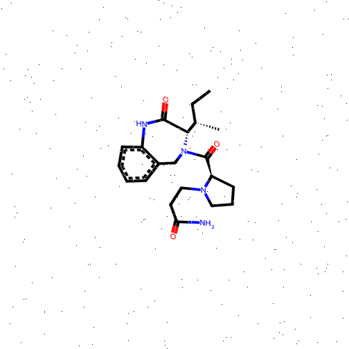 CC[C@H](C)[C@H]1C(=O)Nc2ccccc2CN1C(=O)[C@H]1CCCN1CCC(N)=O